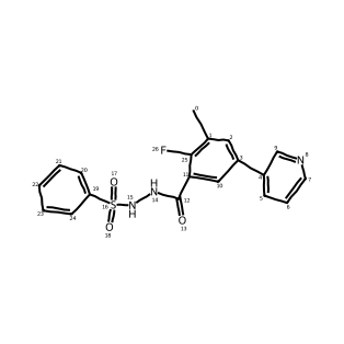 Cc1cc(-c2cccnc2)cc(C(=O)NNS(=O)(=O)c2ccccc2)c1F